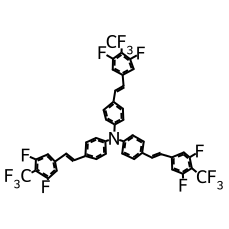 Fc1cc(/C=C/c2ccc(N(c3ccc(/C=C/c4cc(F)c(C(F)(F)F)c(F)c4)cc3)c3ccc(/C=C/c4cc(F)c(C(F)(F)F)c(F)c4)cc3)cc2)cc(F)c1C(F)(F)F